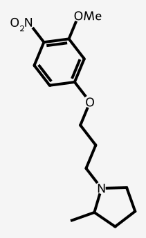 COc1cc(OCCCN2CCCC2C)ccc1[N+](=O)[O-]